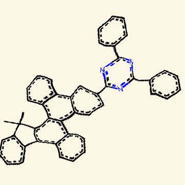 CC1(C)c2ccccc2-c2c1c1c3ccccc3c3cc(-c4nc(-c5ccccc5)nc(-c5ccccc5)n4)ccc3c1c1ccccc21